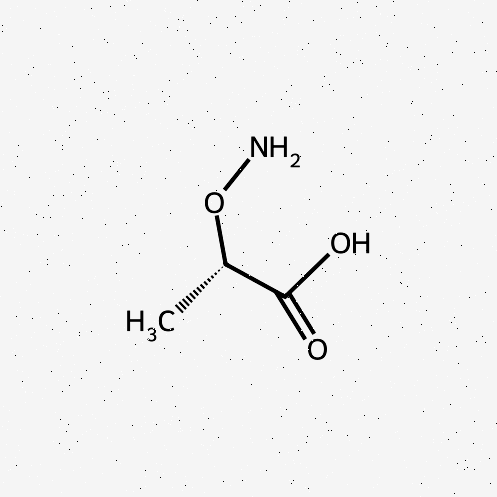 C[C@H](ON)C(=O)O